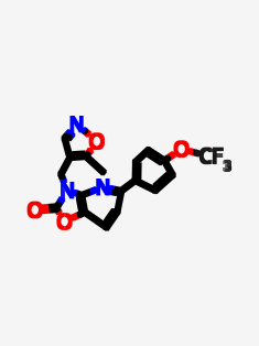 Cc1oncc1Cn1c(=O)oc2ccc(-c3ccc(OC(F)(F)F)cc3)nc21